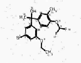 CCOc1cc(Br)cc(C(C)(O)c2ccc(OC(F)F)c(C)c2)c1